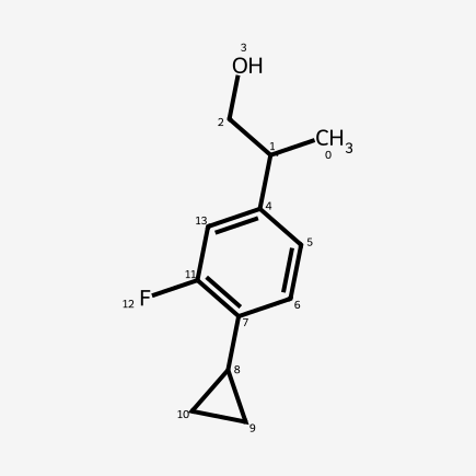 C[C](CO)c1ccc(C2CC2)c(F)c1